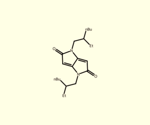 CCCCC(CC)CN1C(=O)C=C2C1=CC(=O)N2CC(CC)CCCC